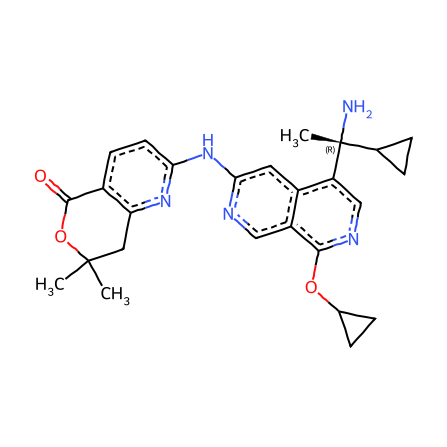 CC1(C)Cc2nc(Nc3cc4c([C@](C)(N)C5CC5)cnc(OC5CC5)c4cn3)ccc2C(=O)O1